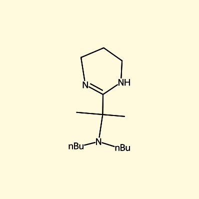 CCCCN(CCCC)C(C)(C)C1=NCCCN1